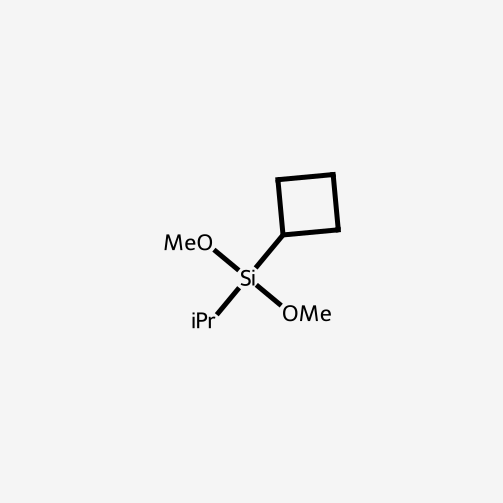 CO[Si](OC)(C(C)C)C1CCC1